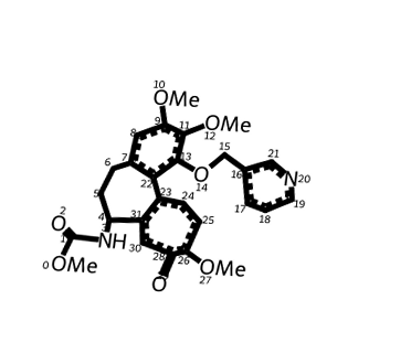 COC(=O)NC1CCc2cc(OC)c(OC)c(OCc3cccnc3)c2-c2ccc(OC)c(=O)cc21